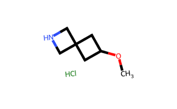 COC1CC2(CNC2)C1.Cl